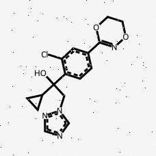 OC(Cn1cncn1)(c1ccc(C2=NOCCO2)cc1Cl)C1CC1